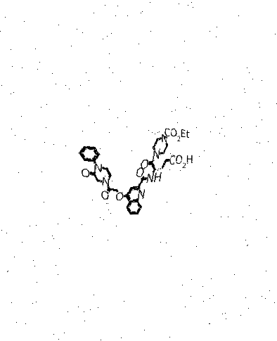 CCOC(=O)N1CCN(C(=O)[C@H](CCC(=O)O)NC(=O)c2cc(OCC(=O)N3CCN(c4ccccc4)C(=O)C3)c3ccccc3n2)CC1